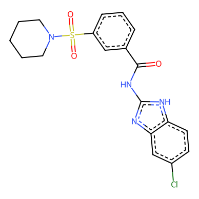 O=C(Nc1nc2cc(Cl)ccc2[nH]1)c1cccc(S(=O)(=O)N2CCCCC2)c1